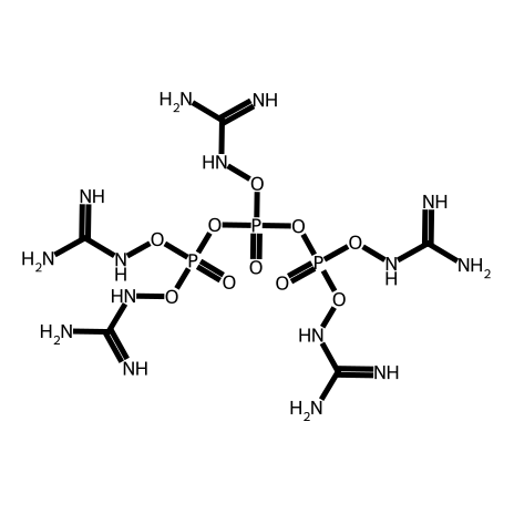 N=C(N)NOP(=O)(ONC(=N)N)OP(=O)(ONC(=N)N)OP(=O)(ONC(=N)N)ONC(=N)N